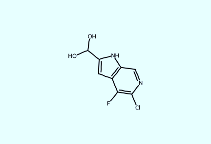 OC(O)c1cc2c(F)c(Cl)ncc2[nH]1